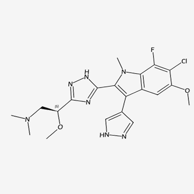 COc1cc2c(-c3cn[nH]c3)c(-c3nc([C@H](CN(C)C)OC)n[nH]3)n(C)c2c(F)c1Cl